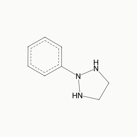 c1ccc(N2NCCN2)cc1